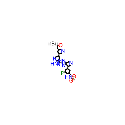 CCCCC(=O)Cc1cncc(-c2cnc3[nH]nc(-c4nc5c(-c6cc(F)cc(CNS(C)(=O)=O)c6)cncc5[nH]4)c3c2)c1